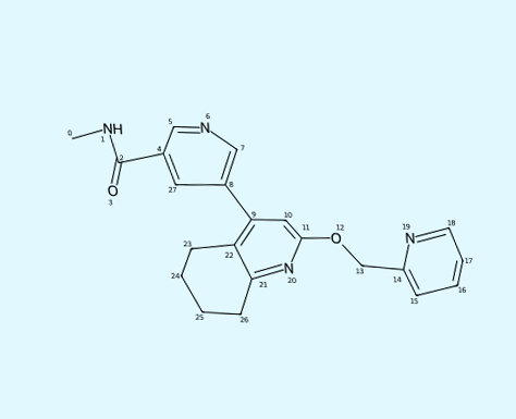 CNC(=O)c1cncc(-c2cc(OCc3ccccn3)nc3c2CCCC3)c1